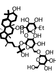 CC[C@@H]1O[C@H](O[C@H]2[C@H](O[C@H](CC[C@@H](C)C3CC[C@@]4(C)C5CC=C6C(CC[C@H](O)C6(C)C)[C@]5(C)[C@H](O)C[C@]34C)C(C)(C)O)O[C@H](CO[C@H]3O[C@H](CO)[C@@H](O)[C@H](O)[C@H]3O)[C@@H](O)[C@@H]2O)[C@@H](O)[C@H](O)[C@H]1O